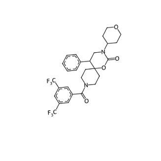 O=C(c1cc(C(F)(F)F)cc(C(F)(F)F)c1)N1CCC2(CC1)OC(=O)N(C1CCOCC1)CC2c1ccccc1